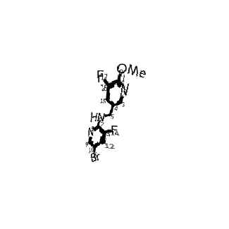 COc1ncc(CNc2ncc(Br)cc2F)cc1F